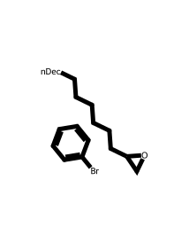 Brc1ccccc1.CCCCCCCCCCCCCCCCC1CO1